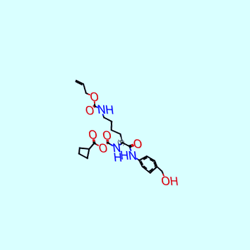 C=CCOC(=O)NCCCC[C@H](NC(=O)OC(=O)C1CCC1)C(=O)Nc1ccc(CO)cc1